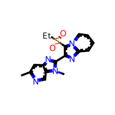 CCS(=O)(=O)c1c(-c2nc3cc(C)ncc3n2C)nc2ccccn12